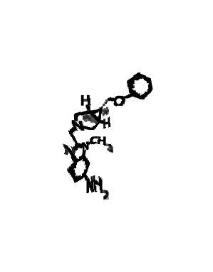 Cn1c(CN2C[C@@H]3[C@H](COc4ccccc4)[C@@H]3C2)nc2ccc(N)cc21